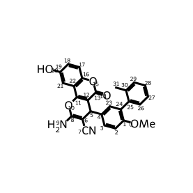 COc1ccc(C2C(C#N)=C(N)Oc3c2c(=O)oc2ccc(O)cc32)cc1-c1ccccc1C